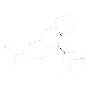 CC(C)(C)OC(=O)N1[C@@H]2CC[C@H]1C[C@@H](N1c3ccccc3Oc3cc(C(N)=O)ccc31)C2